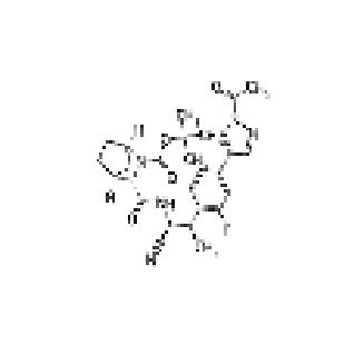 CC(=O)n1cc(-c2ccc([C@@H](C)[C@@H](C#N)NC(=O)[C@@H]3[C@H]4CC[C@H](C4)N3C(=O)OC(C)(C)C)c(F)c2)cn1